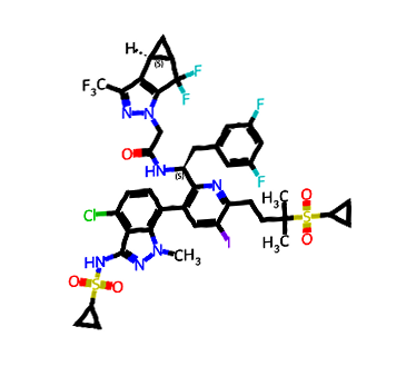 Cn1nc(NS(=O)(=O)C2CC2)c2c(Cl)ccc(-c3cc(I)c(CCC(C)(C)S(=O)(=O)C4CC4)nc3[C@H](Cc3cc(F)cc(F)c3)NC(=O)Cn3nc(C(F)(F)F)c4c3C(F)(F)C3C[C@H]43)c21